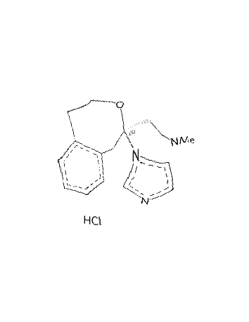 CNC[C@@]1(n2ccnc2)OCCc2ccccc21.Cl